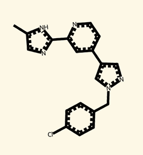 Cc1cnc(-c2cc(-c3cnn(Cc4ccc(Cl)cc4)c3)ccn2)[nH]1